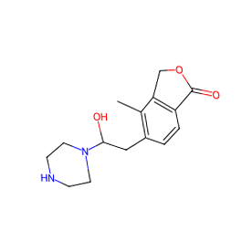 Cc1c(CC(O)N2CCNCC2)ccc2c1COC2=O